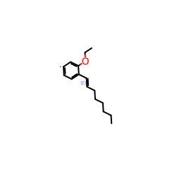 CCCCCC/C=C/c1cc[c]cc1OCC